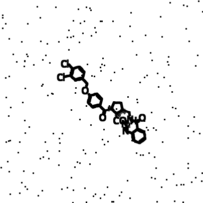 O=C(O)[C@H]1[C@H](Cn2nnc3ccccc3c2=O)CC[C@@H]1C(=O)c1ccc(OCc2ccc(Cl)c(Cl)c2)cc1